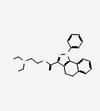 CCN(CC)CCNC(=O)c1nn(-c2ccccc2)c2c1CCc1ccccc1-2